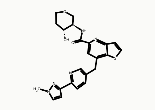 Cn1ccc(-c2ccc(Cc3cc(C(=O)N[C@@H]4COCC[C@H]4O)nc4ccsc34)cn2)n1